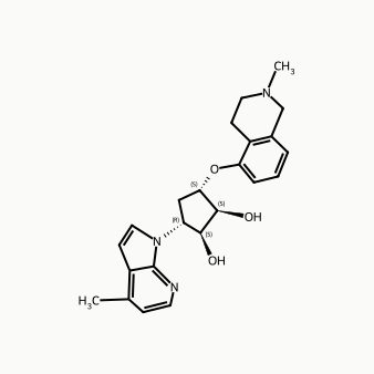 Cc1ccnc2c1ccn2[C@@H]1C[C@H](Oc2cccc3c2CCN(C)C3)[C@@H](O)[C@H]1O